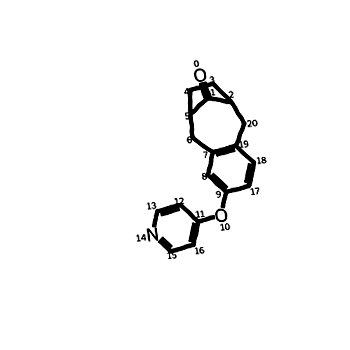 O=C1C2CCC1Cc1cc(Oc3ccncc3)ccc1C2